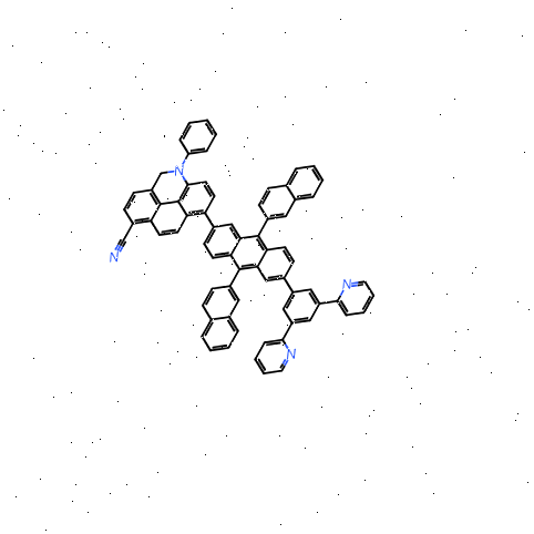 N#Cc1ccc2c3c1ccc1c(-c4ccc5c(-c6ccc7ccccc7c6)c6cc(-c7cc(-c8ccccn8)cc(-c8ccccn8)c7)ccc6c(-c6ccc7ccccc7c6)c5c4)ccc(c13)N(c1ccccc1)C2